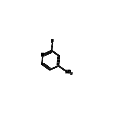 O=[N+]([O-])c1ccnc(F)c1